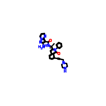 C[C@H](NC(=O)c1c(N)nn2cccnc12)c1cc2cccc(C#CCN3CCNCC3)c2c(=O)n1-c1ccccc1